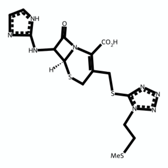 CSCCn1nnnc1SCC1=C(C(=O)O)N2C(=O)C(Nc3ncc[nH]3)[C@@H]2SC1